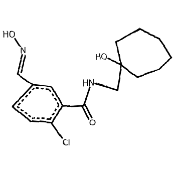 O=C(NCC1(O)CCCCCC1)c1cc(C=NO)ccc1Cl